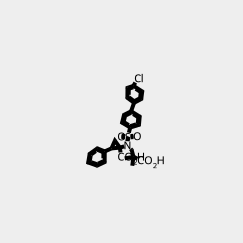 CC(C)(CN(C1(C(=O)O)CC1c1ccccc1)S(=O)(=O)c1ccc(-c2ccc(Cl)cc2)cc1)C(=O)O